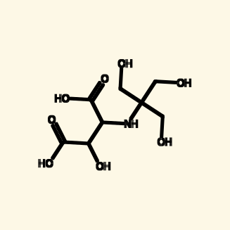 O=C(O)C(O)C(NC(CO)(CO)CO)C(=O)O